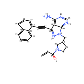 C=CC(=O)N1CCC(Cn2nc(C#Cc3cccc4ccccc34)c3c(N)ncnc32)C1